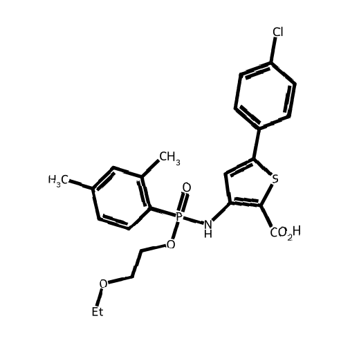 CCOCCOP(=O)(Nc1cc(-c2ccc(Cl)cc2)sc1C(=O)O)c1ccc(C)cc1C